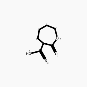 O=C1OCCCCC1C(O)=S